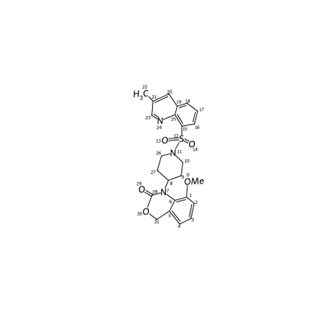 COc1cccc2c1N(C1CCN(S(=O)(=O)c3cccc4cc(C)cnc34)CC1)C(=O)OC2